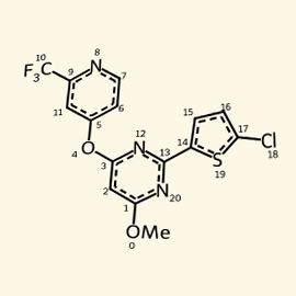 COc1cc(Oc2ccnc(C(F)(F)F)c2)nc(-c2ccc(Cl)s2)n1